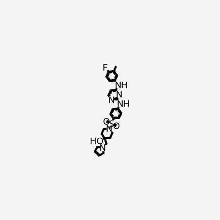 Cc1cc(Nc2ccnc(Nc3ccc(S(=O)(=O)N4CCC(O)(CN5CC=CC5)CC4)cc3)n2)ccc1F